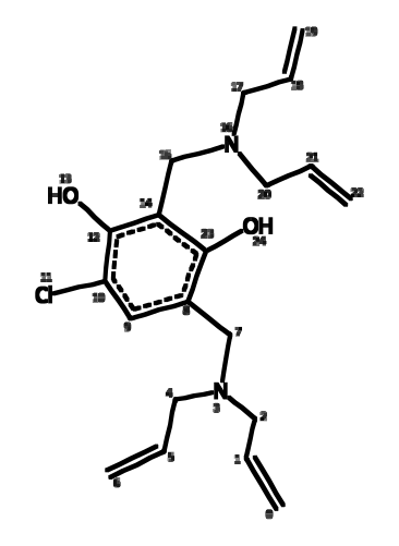 C=CCN(CC=C)Cc1cc(Cl)c(O)c(CN(CC=C)CC=C)c1O